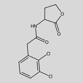 O=C(Cc1cccc(Cl)c1Cl)NC1CCOC1=O